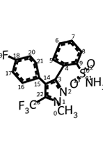 Cn1nc(-c2ccccc2S(N)(=O)=O)c(-c2ccc(F)cc2)c1C(F)(F)F